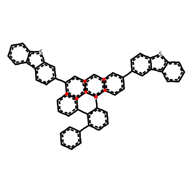 c1ccc(-c2ccccc2-c2c(-c3ccccc3)cccc2N(c2ccc(-c3ccc4c(c3)sc3ccccc34)cc2)c2ccc(-c3ccc4sc5ccccc5c4c3)cc2)cc1